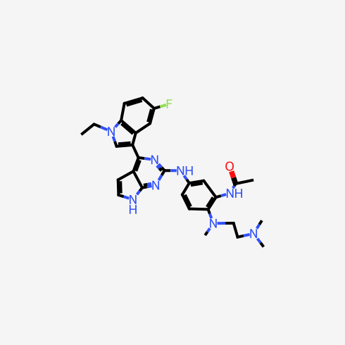 CCn1cc(-c2nc(Nc3ccc(N(C)CCN(C)C)c(NC(C)=O)c3)nc3[nH]ccc23)c2cc(F)ccc21